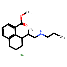 CCCNCC(C)C1CCCc2cccc(C(=O)OC)c21.Cl